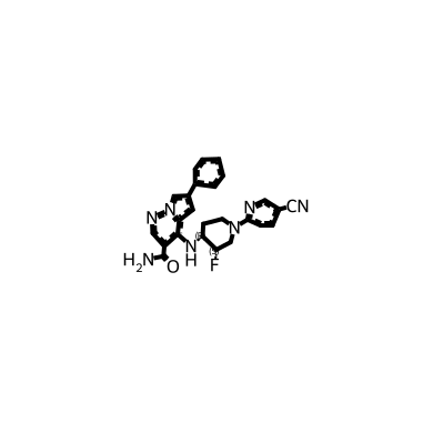 N#Cc1ccc(N2CC[C@@H](Nc3c(C(N)=O)cnn4cc(-c5ccccc5)cc34)[C@@H](F)C2)nc1